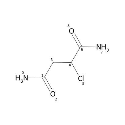 NC(=O)CC(Cl)C(N)=O